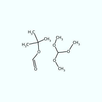 CC(C)(C)OC=O.COC(OC)OC